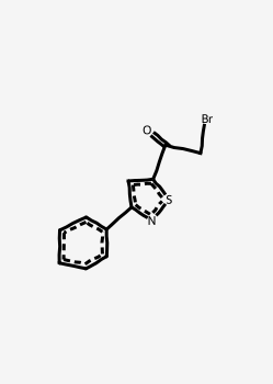 O=C(CBr)c1cc(-c2ccccc2)ns1